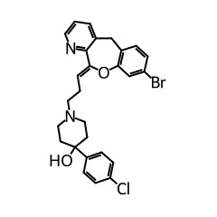 OC1(c2ccc(Cl)cc2)CCN(CCC=C2Oc3cc(Br)ccc3Cc3cccnc32)CC1